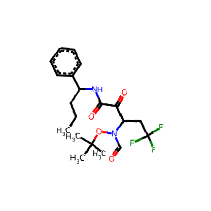 CCCC(NC(=O)C(=O)C(CC(F)(F)F)N(C=O)OC(C)(C)C)c1ccccc1